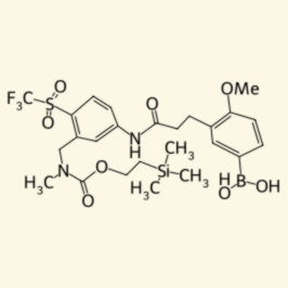 COc1ccc(B(O)O)cc1CCC(=O)Nc1ccc(S(=O)(=O)C(F)(F)F)c(CN(C)C(=O)OCC[Si](C)(C)C)c1